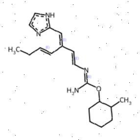 CC/C=C/C(/C=C/N=C(\N)OC1CCCCC1C)=C\c1ncc[nH]1